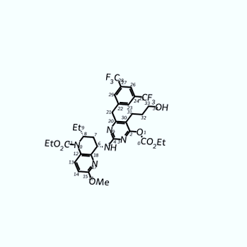 CCOC(=O)Oc1nc(N[C@H]2C[C@@H](CC)N(C(=O)OCC)c3ccc(OC)nc32)nc(Cc2cc(C(F)(F)F)cc(C(F)(F)F)c2)c1CCCO